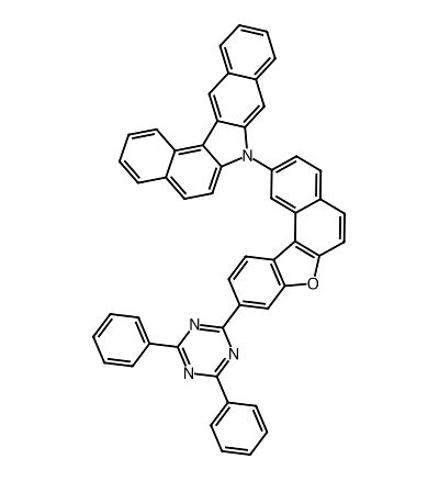 c1ccc(-c2nc(-c3ccccc3)nc(-c3ccc4c(c3)oc3ccc5ccc(-n6c7cc8ccccc8cc7c7c8ccccc8ccc76)cc5c34)n2)cc1